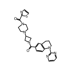 O=C(c1ccc2c(c1)CCCN2c1ncccn1)N1CC(N2CCN(C(=O)c3nccs3)CC2)C1